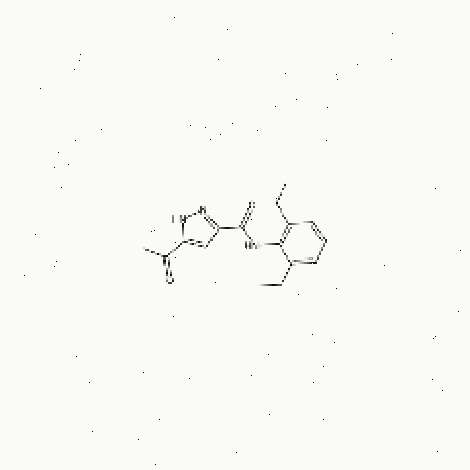 CCc1cccc(CC)c1NC(=O)c1cc(C(C)=O)[nH]n1